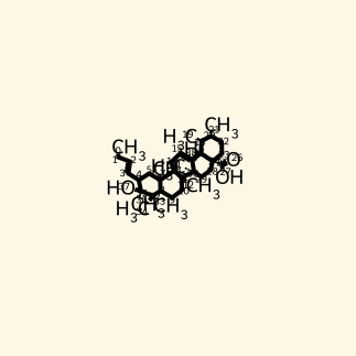 CCC=CC1C[C@@]2(C)C(CC[C@]3(C)C2CC=C2[C@@H]4[C@@H](C)[C@H](C)CC[C@]4(C(=O)O)CC[C@]23C)C(C)(C)[C@@]1(C)O